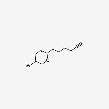 C#CCCCCC1OCC(C(C)C)CS1